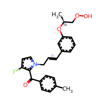 Cc1ccc(C(=O)c2c(F)ccn2C/C=C/c2cccc(O[C@@H](C)COO)c2)cc1